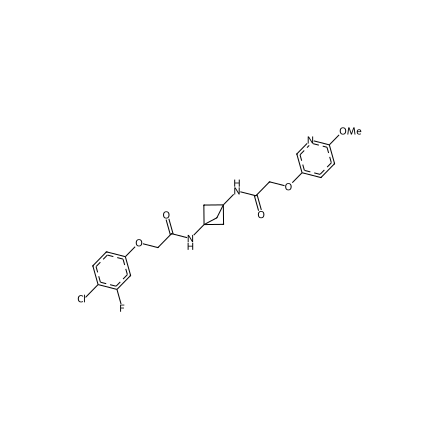 COc1ccc(OCC(=O)NC23CC(NC(=O)COc4ccc(Cl)c(F)c4)(C2)C3)cn1